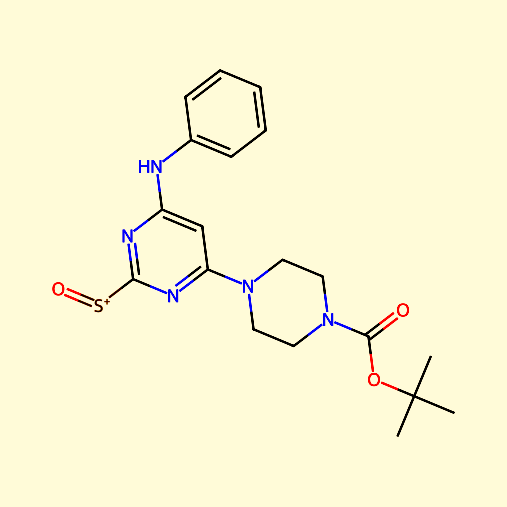 CC(C)(C)OC(=O)N1CCN(c2cc(Nc3ccccc3)nc([S+]=O)n2)CC1